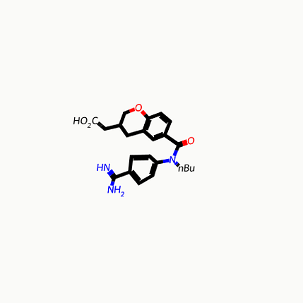 CCCCN(C(=O)c1ccc2c(c1)CC(CC(=O)O)CO2)c1ccc(C(=N)N)cc1